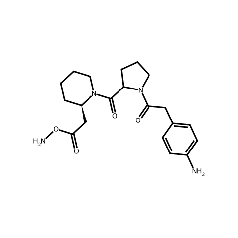 NOC(=O)C[C@H]1CCCCN1C(=O)C1CCCN1C(=O)Cc1ccc(N)cc1